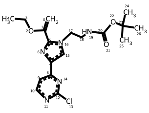 C=C(OCC)c1nc(-c2ccnc(Cl)n2)cn1CCNC(=O)OC(C)(C)C